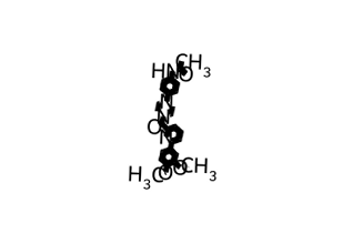 COc1ccc(-c2cccc(C(=O)N3CCN(c4ccc(NC(C)=O)cc4)CC3)n2)cc1OC